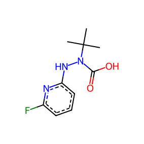 CC(C)(C)N(Nc1cccc(F)n1)C(=O)O